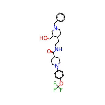 O=C(NCCC1CCN(Cc2ccccc2)CC1CO)C1CCN(c2ccc(OC(F)(F)F)cc2)CC1